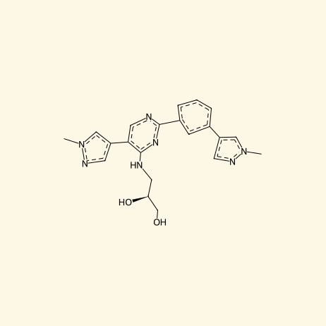 Cn1cc(-c2cccc(-c3ncc(-c4cnn(C)c4)c(NC[C@H](O)CO)n3)c2)cn1